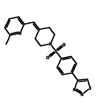 Cc1cccc(C=C2CCN(S(=O)(=O)c3ccc(-c4csnn4)cc3)CC2)n1